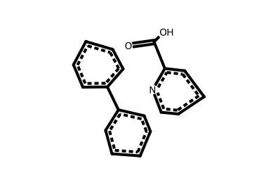 O=C(O)c1ccccn1.c1ccc(-c2ccccc2)cc1